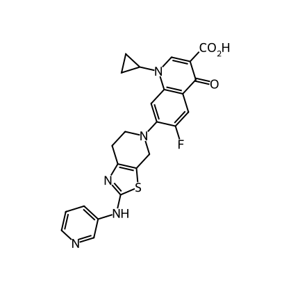 O=C(O)c1cn(C2CC2)c2cc(N3CCc4nc(Nc5cccnc5)sc4C3)c(F)cc2c1=O